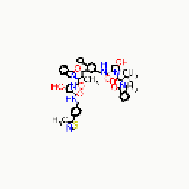 Cc1ncsc1-c1ccc(CNC(=O)[C@@H]2C[C@@H](O)CN2C(=O)[C@H](C(C)Cc2cc(CNC(=O)[C@@H]3C[C@@H](O)CN3C(=O)[C@H](C(C)C)N3Cc4ccccc4C3=O)ccc2C2CCC2)N2Cc3ccccc3C2=O)cc1